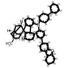 C[C@]12C[C@@H]3C[C@H](C1)C1(c4ccccc4-c4c(N(c5ccc(-c6ccccc6)cc5)c5ccc(-c6ccc7c(c6)oc6ccccc67)cc5)cccc41)[C@@H](C3)C2